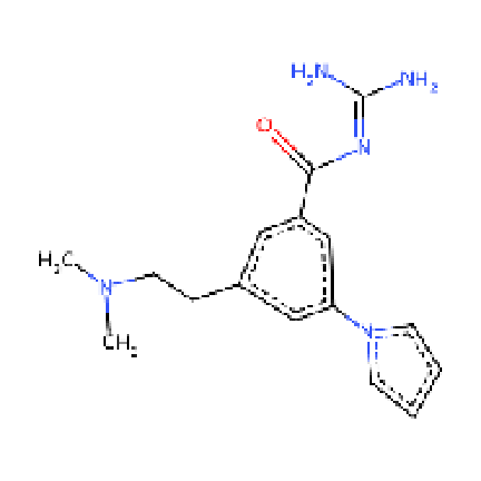 CN(C)CCc1cc(C(=O)N=C(N)N)cc(-n2cccc2)c1